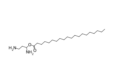 CCCCCCCCCCCCCCCCCCCC(=O)OC(N)CCN